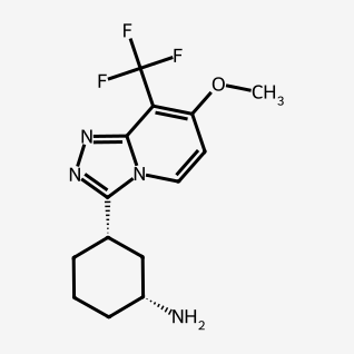 COc1ccn2c([C@H]3CCC[C@@H](N)C3)nnc2c1C(F)(F)F